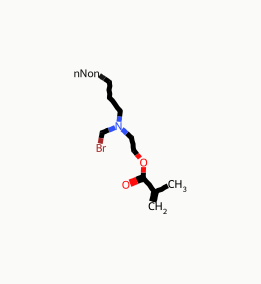 C=C(C)C(=O)OCCN(CBr)CCCCCCCCCCCC